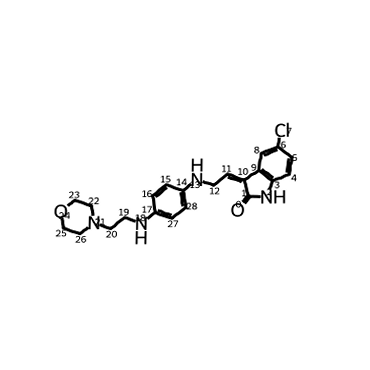 O=C1Nc2ccc(Cl)cc2C1=CCNc1ccc(NCCN2CCOCC2)cc1